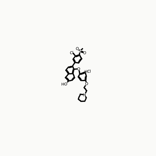 CS(=O)(=O)c1ccc(-c2ccc3cc(O)ccc3c2Oc2ccc(OCCN3CCCCC3)cc2)cc1Cl.Cl